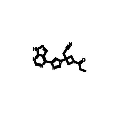 CCC(=O)N1CC(CC#N)(n2cnc(-c3ncnc4[nH]ncc34)c2)C1